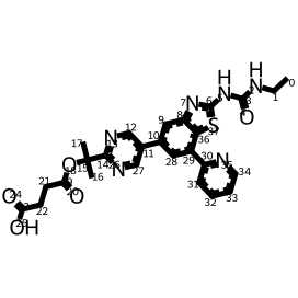 CCNC(=O)Nc1nc2cc(-c3cnc(C(C)(C)OC(=O)CCC(=O)O)nc3)cc(-c3ccccn3)c2s1